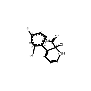 NC(=O)C1(Cl)NC=CC=C1c1ccc(F)cc1F